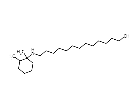 CCCCCCCCCCCCCCNC1(C)CCCCC1C